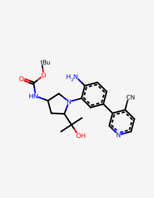 CC(C)(C)OC(=O)NC1CC(C(C)(C)O)N(c2cc(-c3cnccc3C#N)ccc2N)C1